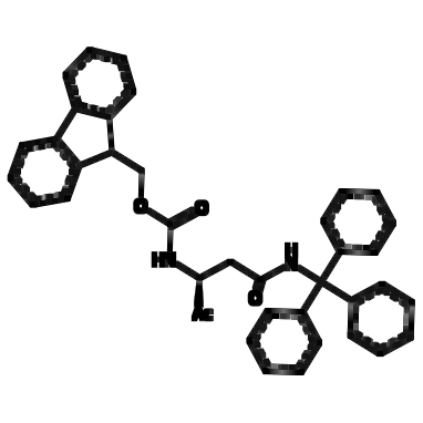 CC(=O)[C@H](CC(=O)NC(c1ccccc1)(c1ccccc1)c1ccccc1)NC(=O)OCC1c2ccccc2-c2ccccc21